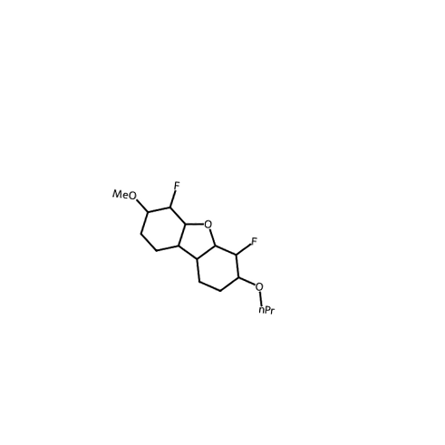 CCCOC1CCC2C3CCC(OC)C(F)C3OC2C1F